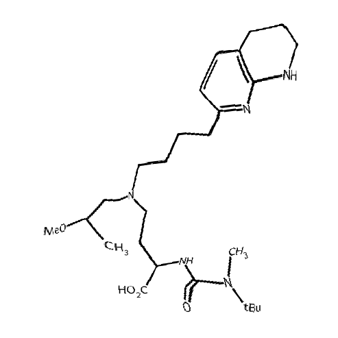 COC(C)CN(CCCCc1ccc2c(n1)NCCC2)CCC(NC(=O)N(C)C(C)(C)C)C(=O)O